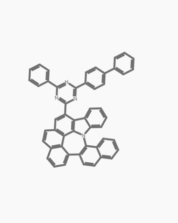 c1ccc(-c2ccc(-c3nc(-c4ccccc4)nc(-c4cc5ccc6cccc7c8ccc9ccccc9c8n8c9ccccc9c4c8c5c67)n3)cc2)cc1